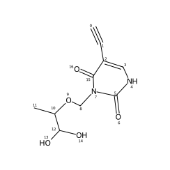 C#Cc1c[nH]c(=O)n(COC(C)C(O)O)c1=O